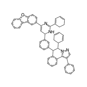 C1=CCCC(C2=NC(c3ccc4oc5ccccc5c4c3)=CC(c3cccc(C4c5ccccc5-c5c(-c6ccccc6)cnn5C4C4C=CC=CC4)c3)N2)=C1